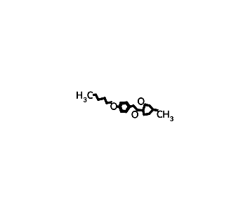 CCCCCCOc1ccc(CC(=O)C2CCC(CC)CC2=O)cc1